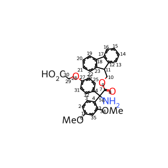 COc1ccc(C(N)(C(=O)OCC2c3ccccc3-c3ccccc32)c2ccc(OCC(=O)O)cc2)c(OC)c1